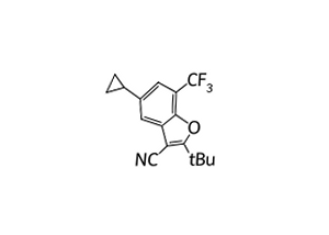 CC(C)(C)c1oc2c(C(F)(F)F)cc(C3CC3)cc2c1C#N